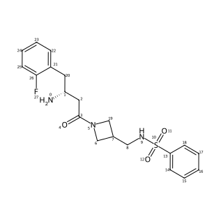 N[C@@H](CC(=O)N1CC(CNS(=O)(=O)c2ccccc2)C1)Cc1ccccc1F